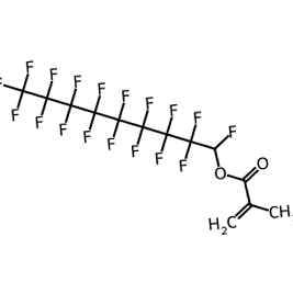 C=C(C)C(=O)OC(F)C(F)(F)C(F)(F)C(F)(F)C(F)(F)C(F)(F)C(F)(F)C(F)(F)C(F)(F)F